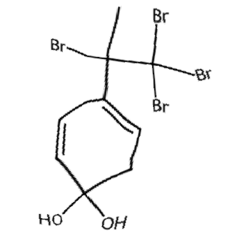 CC(Br)(C1=CCC(O)(O)C=C1)C(Br)(Br)Br